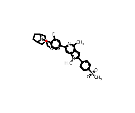 COCCN1C2CCC1CN(c1ccc(-c3cc4c(cc(-c5ccc(S(C)(=O)=O)cc5)n4C)c(C)n3)cc1F)C2